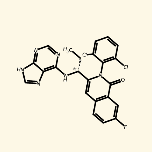 CC[C@@H](Nc1ncnc2[nH]cnc12)c1cc2ccc(F)cc2c(=O)n1-c1c(Cl)cccc1Cl